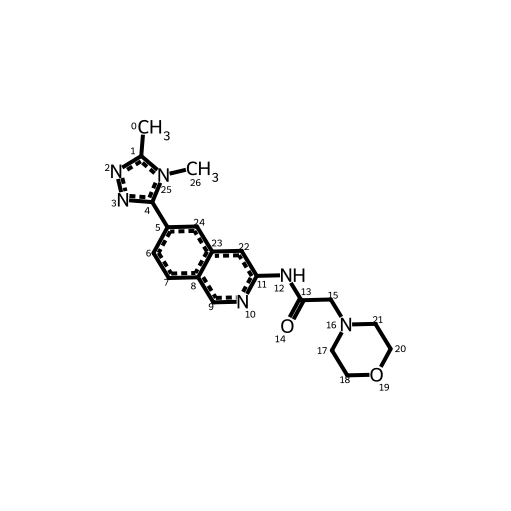 Cc1nnc(-c2ccc3cnc(NC(=O)CN4CCOCC4)cc3c2)n1C